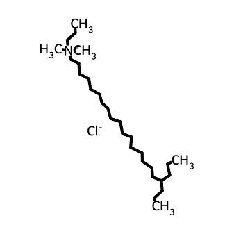 CCCC(CCC)CCCCCCCCCCCCCCCCC[N+](C)(C)CCC.[Cl-]